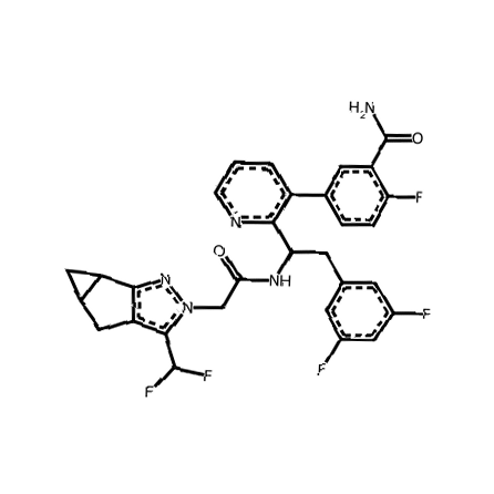 NC(=O)c1cc(-c2cccnc2C(Cc2cc(F)cc(F)c2)NC(=O)Cn2nc3c(c2C(F)F)CC2CC32)ccc1F